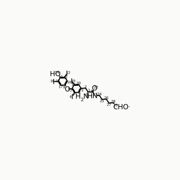 N[C@@H](Cc1cc(I)c(Oc2cc(I)c(O)c(I)c2)c(I)c1)C(=O)NCCCCC[C]=O